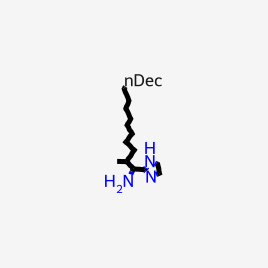 CCCCCCCCCCCCCCCCCCC(C)C(N)C1=NCCN1